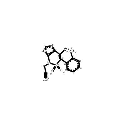 C#CCN1c2ocnc2C(O)=C(c2ccccc2C)S1(=O)=O